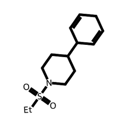 CCS(=O)(=O)N1CCC(C2C=CCC=C2)CC1